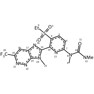 CCS(=O)(=O)c1ccc(N(C)C(=O)NC)nc1-c1nc2cc(C(F)(F)F)nnc2n1C